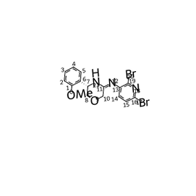 COc1ccccc1[C@H]1COCC(=Nc2ccc(Br)nc2Br)N1